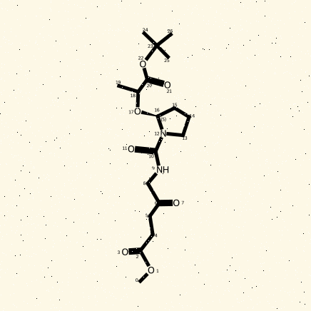 COC(=O)CCC(=O)CNC(=O)N1CCC[C@@H]1OC(C)C(=O)OC(C)(C)C